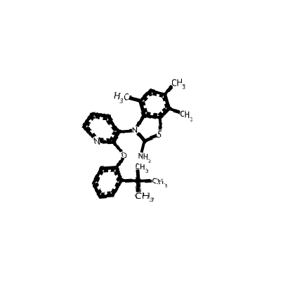 Cc1cc(C)c2c(c1C)SC(N)N2c1cccnc1Oc1ccccc1C(C)(C)C